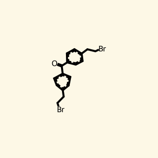 O=C(c1ccc(CCBr)cc1)c1ccc(CCBr)cc1